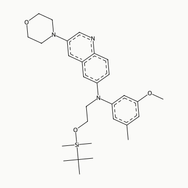 COc1cc(C)cc(N(CCO[Si](C)(C)C(C)(C)C)c2ccc3ncc(N4CCOCC4)cc3c2)c1